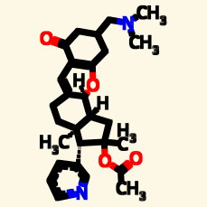 CC(=O)OC1(C)C[C@H]2[C@@H]3OC4=C(C=C3CC[C@]2(C)[C@H]1c1cccnc1)C(=O)CC(CN(C)C)C4